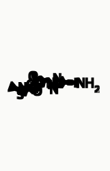 COc1cc(Cn2cnc3cc(C#CC(C)(C)N)cnc32)cc2c1OC(c1csc(C3CC3)n1)CO2